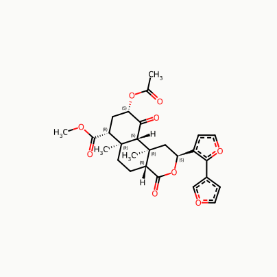 COC(=O)[C@@H]1C[C@H](OC(C)=O)C(=O)[C@H]2[C@@]1(C)CC[C@H]1C(=O)O[C@H](c3ccoc3-c3ccoc3)C[C@]21C